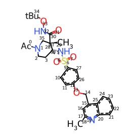 CC(=O)N1CC[C@@H](NS(=O)(=O)c2ccc(OCc3cc(C)nc4ccccc34)cc2)[C@@](C)(C(=O)NOC(C)(C)C)C1